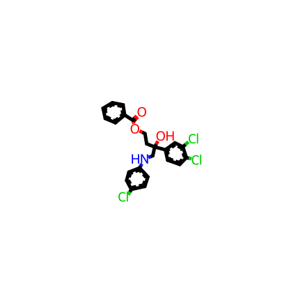 O=C(OCCC(O)(CNc1ccc(Cl)cc1)c1ccc(Cl)c(Cl)c1)c1ccccc1